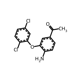 CC(=O)c1ccc(N)c(Oc2cc(Cl)ccc2Cl)c1